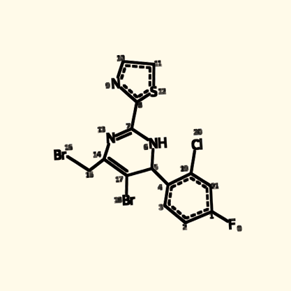 Fc1ccc(C2NC(c3nccs3)=NC(CBr)=C2Br)c(Cl)c1